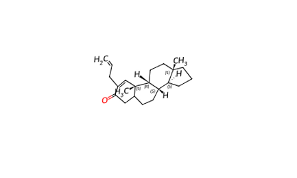 C=CCC1=C[C@@]2(C)C(CC[C@@H]3[C@H]2CC[C@]2(C)CCC[C@@H]32)CC1=O